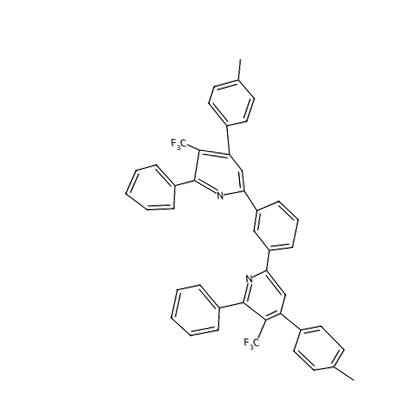 Cc1ccc(-c2cc(-c3cccc(-c4cc(-c5ccc(C)cc5)c(C(F)(F)F)c(-c5ccccc5)n4)c3)nc(-c3ccccc3)c2C(F)(F)F)cc1